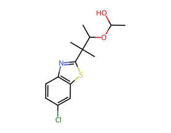 CC(O)OC(C)C(C)(C)c1nc2ccc(Cl)cc2s1